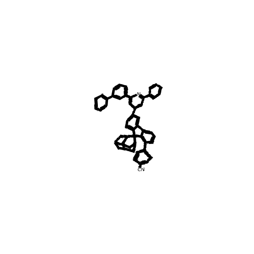 N#Cc1ccc(-c2cccc3c2C2(c4ccc(-c5cc(-c6ccccc6)nc(-c6cccc(-c7ccccc7)c6)c5)cc4-3)C3CC4CC(C3)CC2C4)cc1